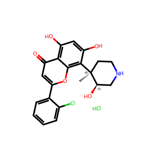 C[C@]1(c2c(O)cc(O)c3c(=O)cc(-c4ccccc4Cl)oc23)CCNC[C@H]1O.Cl